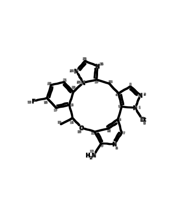 CCn1ncc2c1-c1cnc(N)c(c1)OC(C)c1cc(F)ccc1-n1ncnc1C2